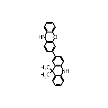 CC1(C)c2ccccc2Nc2ccc(-c3ccc4c(c3)Oc3ccccc3N4)cc21